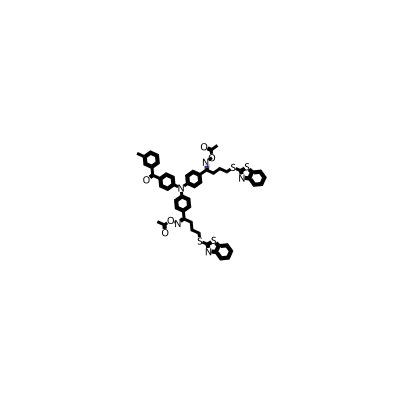 CC(=O)ON=C(CCCSc1nc2ccccc2s1)c1ccc(N(c2ccc(C(=O)c3cccc(C)c3)cc2)c2ccc(/C(CCCSc3nc4ccccc4s3)=N/OC(C)=O)cc2)cc1